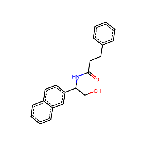 O=C(CCc1ccccc1)NC(CO)c1ccc2ccccc2c1